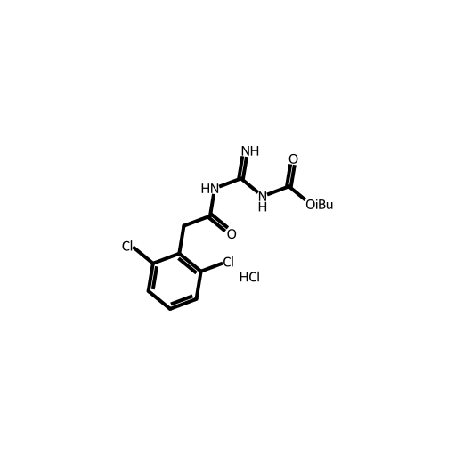 CC(C)COC(=O)NC(=N)NC(=O)Cc1c(Cl)cccc1Cl.Cl